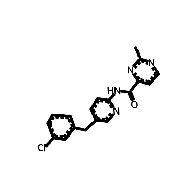 Cc1nccc(C(=O)Nc2ccc(Cc3cccc(Cl)c3)cn2)n1